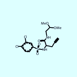 C#CCC(NS(=O)(=O)c1ccc(Cl)c(Cl)c1)C(=O)NCC(OC)OC